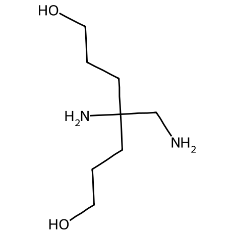 NCC(N)(CCCO)CCCO